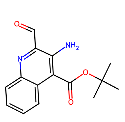 CC(C)(C)OC(=O)c1c(N)c(C=O)nc2ccccc12